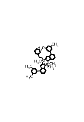 Cc1cc(C)cc(-c2cccc3c2C=C2[CH]3[Hf]([CH3])([CH3])[CH]3C(=Cc4c(-c5cc(C)cc(C)c5)cccc43)[Si]2(C)CCc2ccccc2)c1